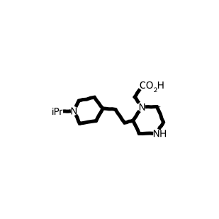 CC(C)N1CCC(CCC2CNC[CH]N2CC(=O)O)CC1